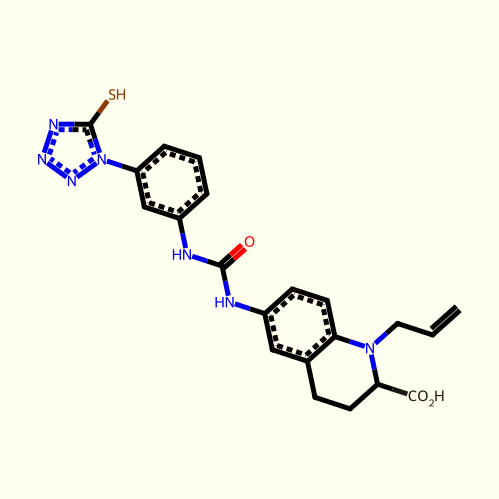 C=CCN1c2ccc(NC(=O)Nc3cccc(-n4nnnc4S)c3)cc2CCC1C(=O)O